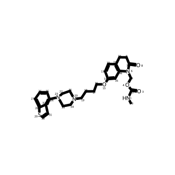 CNC(=O)OCN1C(=O)CCc2ccc(OCCCCN3CCN(c4cccc5sccc45)CC3)cc21